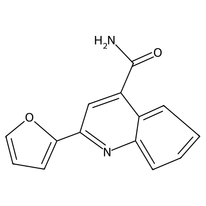 NC(=O)c1cc(-c2ccco2)nc2ccccc12